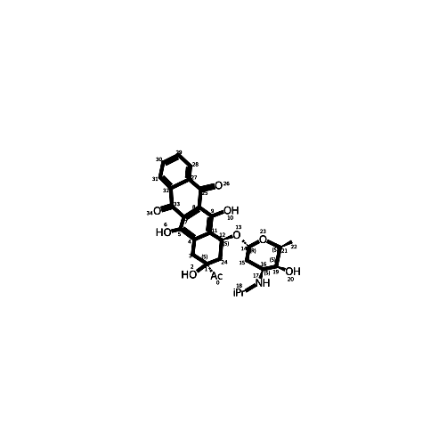 CC(=O)[C@]1(O)Cc2c(O)c3c(c(O)c2[C@@H](O[C@H]2C[C@H](NC(C)C)[C@H](O)[C@H](C)O2)C1)C(=O)c1ccccc1C3=O